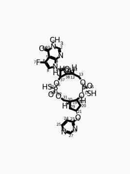 Cn1cnc2c(c(F)cn2[C@@H]2O[C@@H]3CO[P@](=O)(S)O[C@H]4C[C@H](Oc5ccncn5)C[C@@H]4CO[P@@](=O)(S)O[C@@H]2[C@@H]3O)c1=O